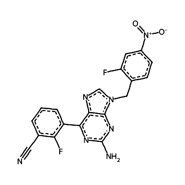 N#Cc1cccc(-c2nc(N)nc3c2ncn3Cc2ccc([N+](=O)[O-])cc2F)c1F